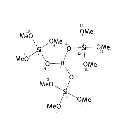 CO[Si](OC)(OC)OB(O[Si](OC)(OC)OC)O[Si](OC)(OC)OC